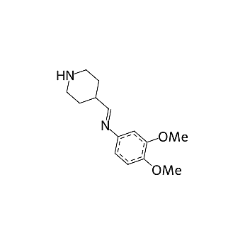 COc1ccc(N=CC2CCNCC2)cc1OC